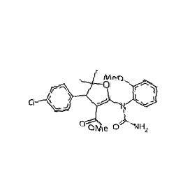 COC(=O)C1=C(N(C(N)=O)c2ccccc2OC)OC(C)(C)C1c1ccc(Cl)cc1